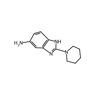 Nc1ccc2[nH]c(N3CCCCC3)nc2c1